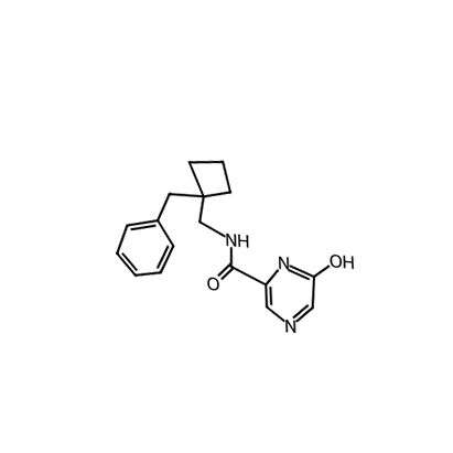 O=C(NCC1(Cc2ccccc2)CCC1)c1cncc(O)n1